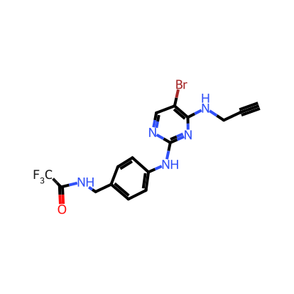 C#CCNc1nc(Nc2ccc(CNC(=O)C(F)(F)F)cc2)ncc1Br